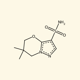 CC1(C)COc2c(S(N)(=O)=O)cnn2C1